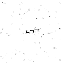 [2H]OC(=O)CCC(=O)CC(=O)O